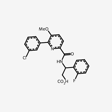 COc1ccc(C(=O)NC(CC(=O)O)c2ccccc2F)nc1-c1cccc(Cl)c1